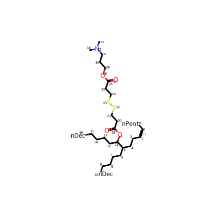 CCCCC/C=C\CCC(CCCCCCCCCCCCCC)C(CCCCCCCCCCCCCC)OC(=O)CCSSCCC(=O)OCCCN(C)C